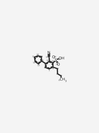 CCCCc1ccc(-c2ccccc2)c(C#N)c1S(=O)(=O)O